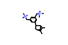 CC1C2CC(c3cc(C[N+](C)(C)C)cc(C[N+](C)(C)C)c3)C(C2)C1C